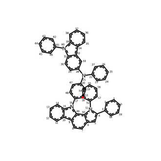 c1ccc(-c2cc3ccc4c5ccccc5n(-c5ccc(N(c6ccccc6)c6ccc7c(c6)c6ccccc6n7-c6ccccc6)cc5)c4c3n2-c2ccccc2)cc1